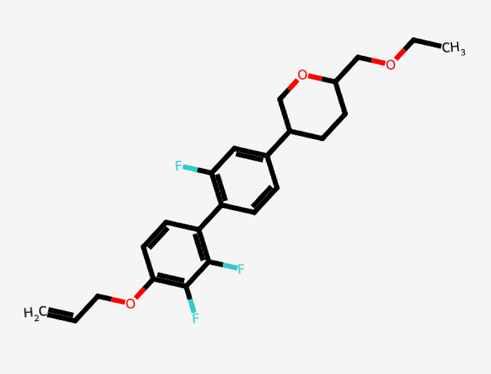 C=CCOc1ccc(-c2ccc(C3CCC(COCC)OC3)cc2F)c(F)c1F